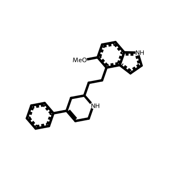 COc1ccc2[nH]ccc2c1CCC1CC(c2ccccc2)=CCN1